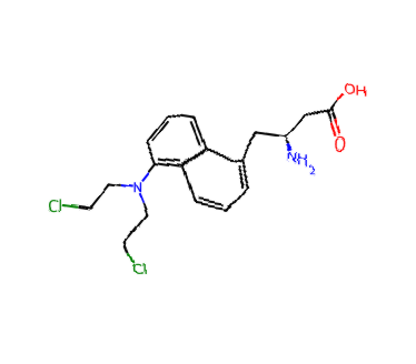 N[C@H](CC(=O)O)Cc1cccc2c(N(CCCl)CCCl)cccc12